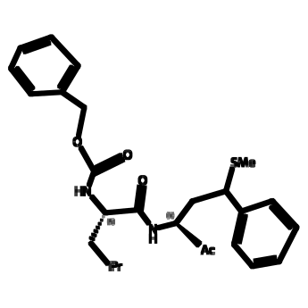 CSC(C[C@H](NC(=O)[C@H](CC(C)C)NC(=O)OCc1ccccc1)C(C)=O)c1ccccc1